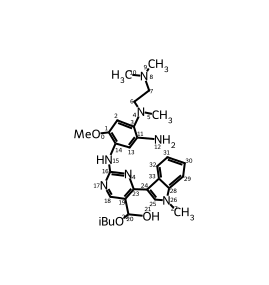 COc1cc(N(C)CCN(C)C)c(N)cc1Nc1ncc(C(O)OCC(C)C)c(-c2cn(C)c3ccccc23)n1